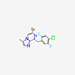 Cc1cnc2c(Cc3cc(F)c(Cl)cc3F)nc(Br)cn12